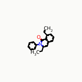 C=Cc1cccc2cc(CC)n(-c3ccccc3)c(=O)c12